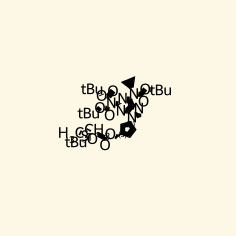 CC(C)(C)OC(=O)N(C(=O)OC(C)(C)C)c1nc(N(C(=O)OC(C)(C)C)C2CC2)c2ncn([C@H]3C=C[C@@H](COC(=O)CO[Si](C)(C)C(C)(C)C)C3)c2n1